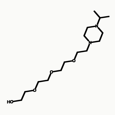 CC(C)N1CCN(CCOCCOCCOCCO)CC1